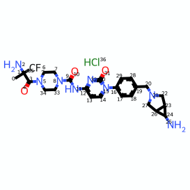 CC(N)(C(=O)N1CCN(C(=O)Nc2ccn(-c3ccc(CN4CC5C(N)C5C4)cc3)c(=O)n2)CC1)C(F)(F)F.Cl